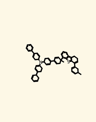 CC1C=CC=C(C2=CCCc3c2sc2c(C4(C)C=CC(C5=CCC(N(C6=CC=C(C7C=CC=CC7)CC6)C6C=CC(c7ccccc7)=CC6)C=C5)=CC4)cccc32)C1